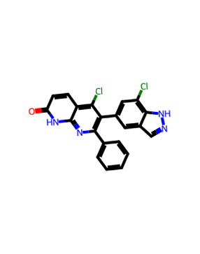 O=c1ccc2c(Cl)c(-c3cc(Cl)c4[nH]ncc4c3)c(-c3ccccc3)nc2[nH]1